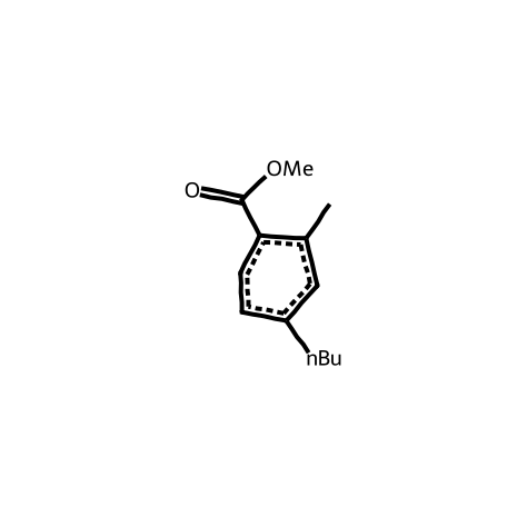 CCCCc1ccc(C(=O)OC)c(C)c1